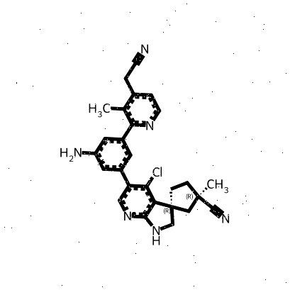 Cc1c(CC#N)ccnc1-c1cc(N)cc(-c2cnc3c(c2Cl)[C@]2(CC[C@@](C)(C#N)C2)CN3)c1